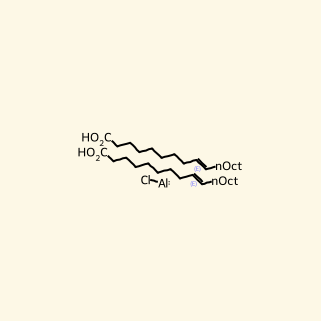 CCCCCCCC/C=C/CCCCCCCC(=O)O.CCCCCCCC/C=C/CCCCCCCC(=O)O.[Al][Cl]